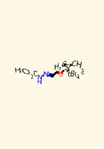 CC(C)(C)[Si](C)(C)OCC=NNC(=O)O